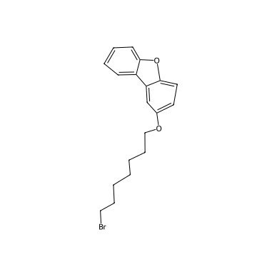 BrCCCCCCCOc1ccc2oc3ccccc3c2c1